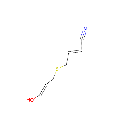 N#CC=CCSCC=CO